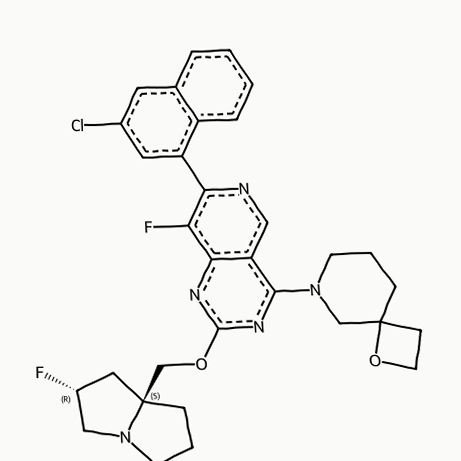 Fc1c(-c2cc(Cl)cc3ccccc23)ncc2c(N3CCCC4(CCO4)C3)nc(OC[C@@]34CCCN3C[C@H](F)C4)nc12